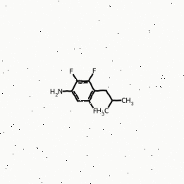 CC(C)Cc1c(F)cc(N)c(F)c1F